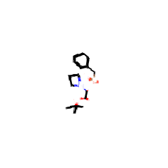 CC(C)(C)OC(=O)[C@H](OS(=O)(=O)Cc1ccccc1)N1CCC1